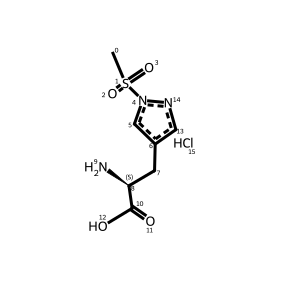 CS(=O)(=O)n1cc(C[C@H](N)C(=O)O)cn1.Cl